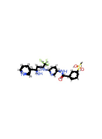 CS(=O)(=O)c1cccc(C(=O)Nc2ccc(N/C(=C\C(=N)c3cccnc3)C(F)(F)F)nc2)c1